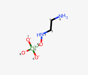 NCCNO[Cl+3]([O-])([O-])[O-]